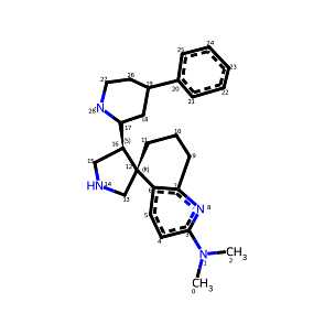 CN(C)c1ccc2c(n1)CCC[C@]21CNC[C@H]1C1CC(c2ccccc2)CC[N]1